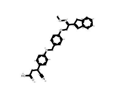 CO/N=C(\COc1ccc(COc2ccc(C(C#N)CC(=O)O)cc2)cc1)C1=Cc2ccccc2C1